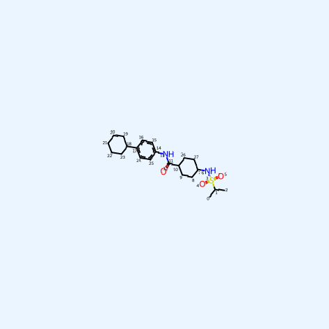 CC(C)S(=O)(=O)NC1CCC(C(=O)Nc2ccc(C3CCCCC3)cc2)CC1